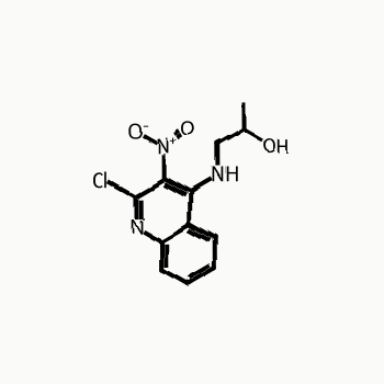 CC(O)CNc1c([N+](=O)[O-])c(Cl)nc2ccccc12